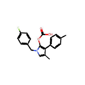 Cc1ccc(-c2c(C)cn(Cc3ccc(F)cc3)c2OC(=O)O)cc1